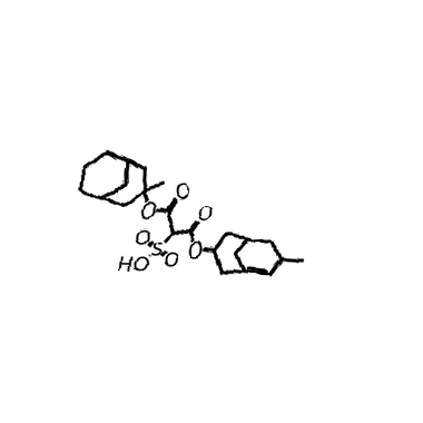 CC1C=C2CC(C1)CC(OC(=O)C(C(=O)OC1(C)CC3CCCC(C3)C1)S(=O)(=O)O)C2